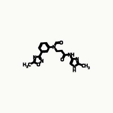 Cc1nc(NC(=O)CCN(C=O)c2cccc(-c3noc(C)n3)c2)c[nH]1